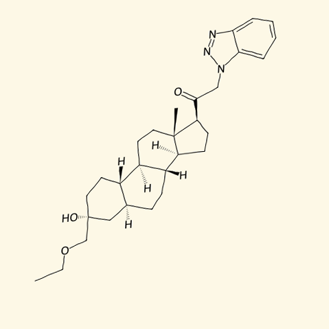 CCOC[C@@]1(O)CC[C@H]2[C@@H](CC[C@@H]3[C@@H]2CC[C@]2(C)[C@@H](C(=O)Cn4nnc5ccccc54)CC[C@@H]32)C1